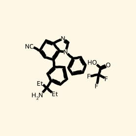 CCC(N)(CC)c1cccc(-c2cc(C#N)cc3ncn(-c4ccccc4)c23)c1.O=C(O)C(F)(F)F